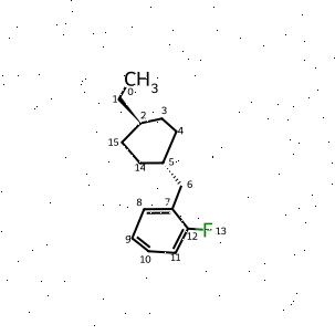 CC[C@H]1CC[C@H](Cc2ccccc2F)CC1